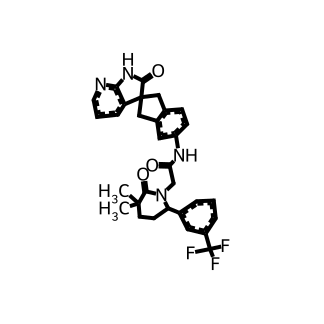 CC1(C)CCC(c2cccc(C(F)(F)F)c2)N(CC(=O)Nc2ccc3c(c2)CC2(C3)C(=O)Nc3ncccc32)C1=O